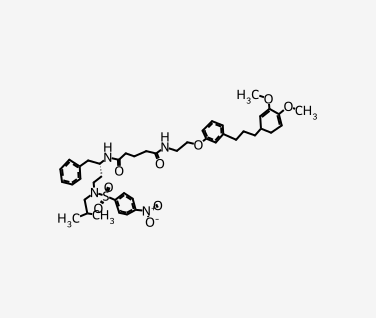 COC1=CCC(CCCc2cccc(OCCNC(=O)CCCC(=O)N[C@H](CCN(CC(C)C)S(=O)(=O)c3ccc([N+](=O)[O-])cc3)Cc3ccccc3)c2)C=C1OC